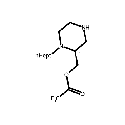 CCCCCCCN1CCNC[C@H]1COC(=O)C(F)(F)F